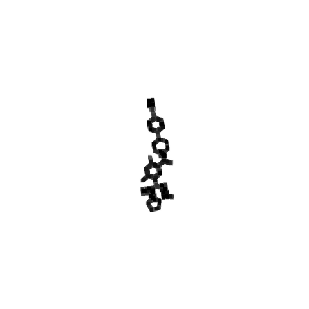 C=N/N=C(\NN1CCCC1)c1cc(C(=C)N2CCC(c3ccc(C#N)cc3)CC2)c(C)cc1C